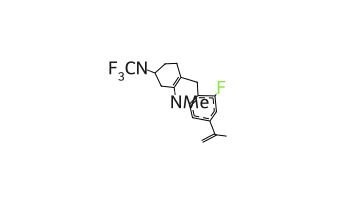 C=C(C)c1ccc(CC2=C(NC)CC(NC(F)(F)F)CC2)c(F)c1